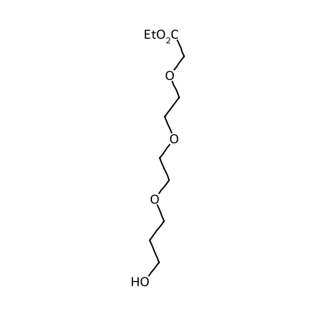 CCOC(=O)COCCOCCOCCCO